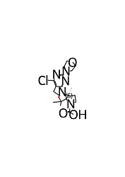 CC(C)(C)C1N(C(=O)O)CC[C@]1(C)N1CCc2c(Cl)nc(N3CCOCC3)nc21